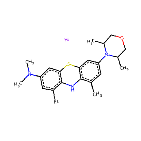 CCc1cc(N(C)C)cc2c1Nc1c(C)cc(N3C(C)COCC3C)cc1S2.I